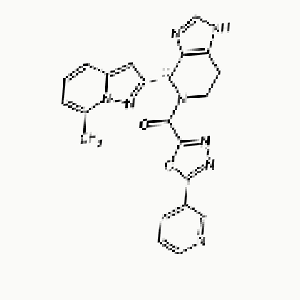 Cc1cccc2cc([C@@H]3c4nc[nH]c4CCN3C(=O)c3nnc(-c4cccnc4)o3)nn12